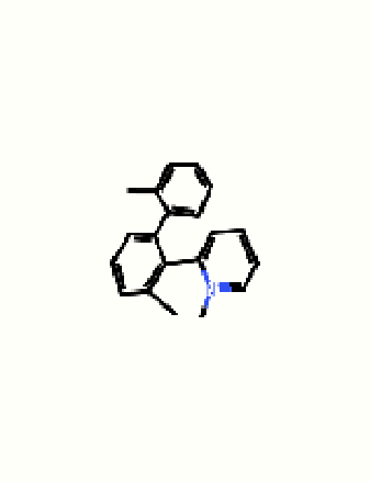 Cc1ccccc1-c1cccc(C)c1-c1cccc[n+]1C